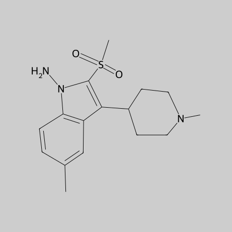 Cc1ccc2c(c1)c(C1CCN(C)CC1)c(S(C)(=O)=O)n2N